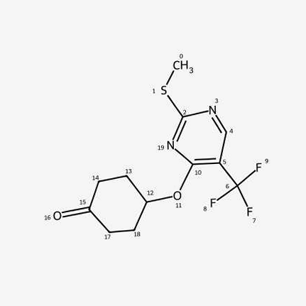 CSc1ncc(C(F)(F)F)c(OC2CCC(=O)CC2)n1